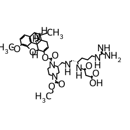 CCOC(=O)N1CCN(C(=O)OC2=CC[C@H]3[C@H]4Cc5ccc(OC)c6c5[C@@]3(CCN4C)[C@H]2O6)[C@@H](CNC[C@H](CCCNC(=N)N)NC(=O)CC(=O)O)C1